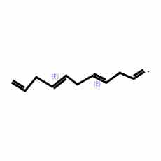 [CH]=CC/C=C/C/C=C/CC=C